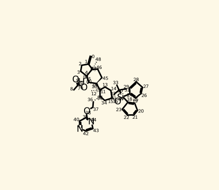 C=C1CC[C@@H]2[C@H](OC(C)=O)[C@H]([C@@]3(C)CC[C@H](O[Si](c4ccccc4)(c4ccccc4)C(C)(C)C)C[C@@H]3CCOc3cnccn3)CC[C@]12C